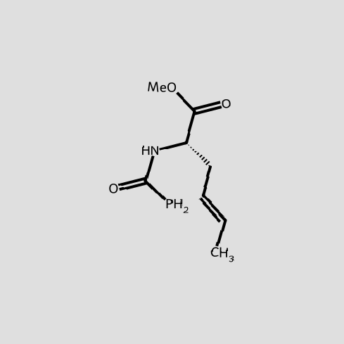 CC=CC[C@H](NC(=O)P)C(=O)OC